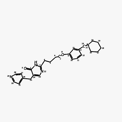 O=c1[nH]c(CCCCOc2cccc(CN3CCCCC3)c2)ncc1Cc1ccncc1